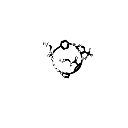 CCNC(=O)c1cc2ccc1Nc1nc(ncc1C(F)(F)F)Nc1ccc(cc1)CP(=O)(OCC)OCCCn1cc-2cn1